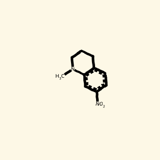 CN1CCCc2ccc([N+](=O)[O-])cc21